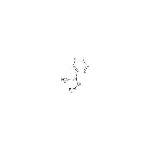 NN(OC(F)(F)F)c1ccccc1